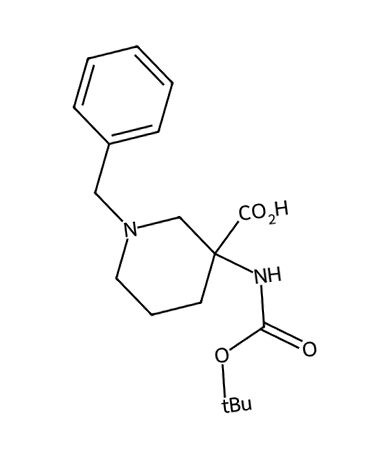 CC(C)(C)OC(=O)NC1(C(=O)O)CCCN(Cc2ccccc2)C1